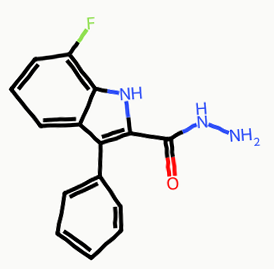 NNC(=O)c1[nH]c2c(F)cccc2c1-c1ccccc1